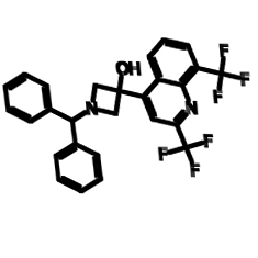 OC1(c2cc(C(F)(F)F)nc3c(C(F)(F)F)cccc23)CN(C(c2ccccc2)c2ccccc2)C1